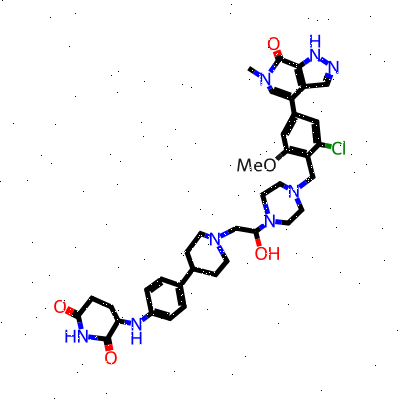 COc1cc(-c2cn(C)c(=O)c3[nH]ncc23)cc(Cl)c1CN1CCN(C(O)CN2CCC(c3ccc(NC4CCC(=O)NC4=O)cc3)CC2)CC1